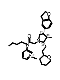 CCCCN(C(=O)CN1C[C@H](c2ccc3c(c2)CCO3)[C@@H](C)[C@@H]1CCC1CCCCO1)c1ccc[n+](C)c1